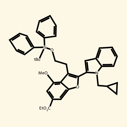 CCOC(=O)c1cc(OC)c2c(CCO[Si](c3ccccc3)(c3ccccc3)C(C)(C)C)c(-c3cc4ccccc4n3CC3CC3)oc2c1